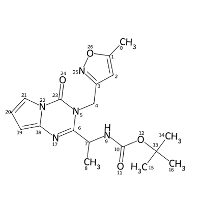 Cc1cc(Cn2c(C(C)NC(=O)OC(C)(C)C)nc3cccn3c2=O)no1